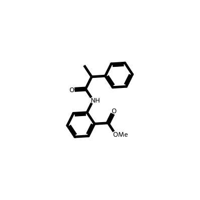 COC(=O)c1ccccc1NC(=O)C(C)c1ccccc1